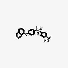 O=C(O)c1ccc(S(=O)(=O)Nc2ccc(Oc3cccc4cnccc34)cc2)cc1